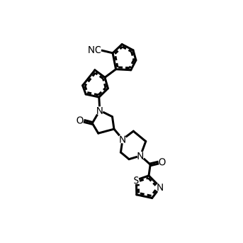 N#Cc1ccccc1-c1cccc(N2CC(N3CCN(C(=O)c4nccs4)CC3)CC2=O)c1